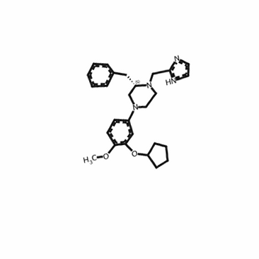 COc1ccc(N2CCN(Cc3ncc[nH]3)[C@@H](Cc3ccccc3)C2)cc1OC1CCCC1